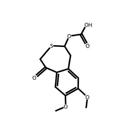 COc1cc2c(cc1OC)C(=O)CSC(OC(=O)O)C2